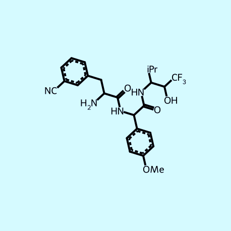 COc1ccc(C(NC(=O)C(N)Cc2cccc(C#N)c2)C(=O)NC(C(C)C)C(O)C(F)(F)F)cc1